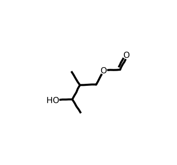 CC(O)C(C)COC=O